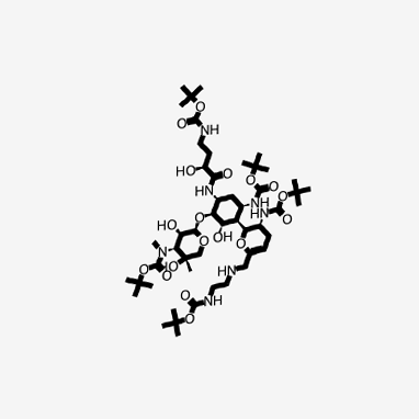 CN(C(=O)OC(C)(C)C)[C@@H]1[C@@H](O)[C@@H](O[C@@H]2[C@@H](O)[C@H](C3OC(CNCCNC(=O)OC(C)(C)C)=CC[C@H]3NC(=O)OC(C)(C)C)[C@@H](NC(=O)OC(C)(C)C)C[C@H]2NC(=O)[C@@H](O)CCNC(=O)OC(C)(C)C)OC[C@]1(C)O